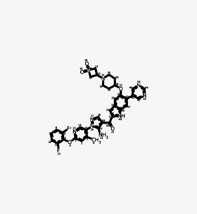 Cc1cc(Oc2c(F)cccc2F)ncc1-n1ncc(C(=O)c2cc3cc(OC4CCN(C5CS(=O)(=O)C5)CC4)c(-c4cncnc4)cc3[nH]2)c1N